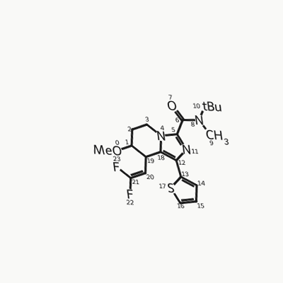 COC1CCn2c(C(=O)N(C)C(C)(C)C)nc(-c3cccs3)c2C1C=C(F)F